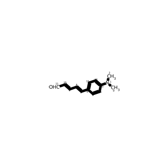 CN(C)c1ccc(C=CC=C[C]=O)cc1